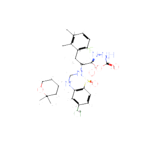 Cc1ccc(F)c([C@@H](C)[C@@H](c2n[nH]c(=O)o2)N2CN([C@H]3CCOC(C)(C)C3)c3cc(Cl)ccc3S2(=O)=O)c1C